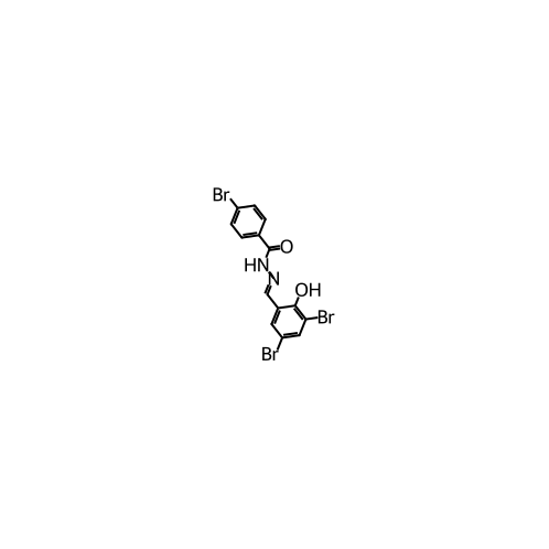 O=C(NN=Cc1cc(Br)cc(Br)c1O)c1ccc(Br)cc1